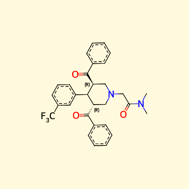 CN(C)C(=O)CN1C[C@H](C(=O)c2ccccc2)C(c2cccc(C(F)(F)F)c2)[C@@H](C(=O)c2ccccc2)C1